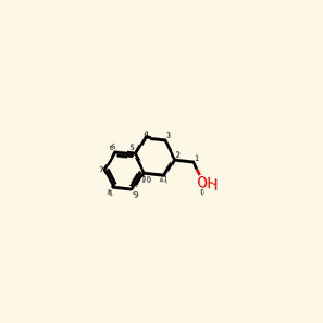 OCC1CCc2ccccc2C1